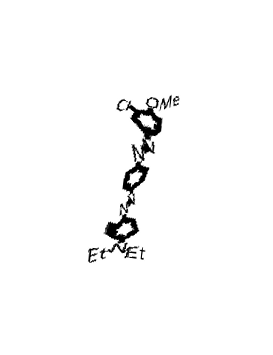 CCN(CC)c1ccc(N=Nc2ccc(N=Nc3ccc(OC)c(Cl)c3)cc2)cc1